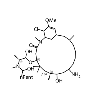 CCCCCC(O)N(C)[C@@H](C)C(O)O[C@H]1CC(=O)N(C)C2CC(C=C(OC)C2Cl)CC(C)CCCCC(N)CC(O)[C@@H](C)[C@H](C)C1(C)C